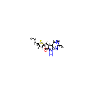 CCCc1ccc(C=C2C(=O)Nc3nc(C)ncc32)s1